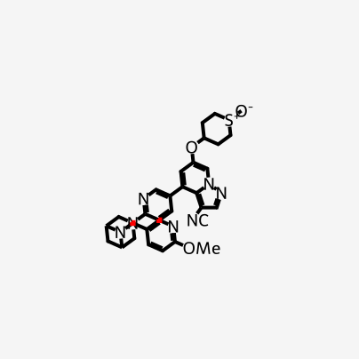 COc1ccc(CN2C3CC2CN(c2ccc(-c4cc(OC5CC[S+]([O-])CC5)cn5ncc(C#N)c45)cn2)C3)cn1